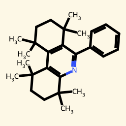 CC1(C)CCC(C)(C)c2c1nc(-c1ccccc1)c1c2C(C)(C)CCC1(C)C